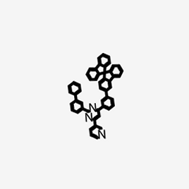 c1ccc(-c2cccc(-c3nc(-c4cccnc4)cc(-c4cccc(-c5ccc6c(c5)-c5ccccc5C65c6ccccc6-c6ccccc65)c4)n3)c2)cc1